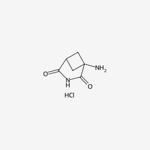 Cl.NC12CC(C1)C(=O)NC2=O